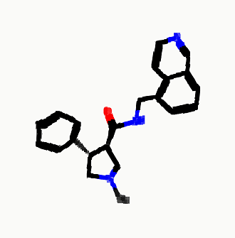 CC(C)(C)N1C[C@H](C(=O)NCc2cccc3cnccc23)[C@@H](c2ccccc2)C1